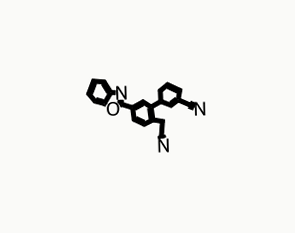 N#CCc1ccc(-c2nc3ccccc3o2)cc1C1C=C(C#N)C=CC1